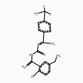 C=C(NC(=O)/N=C(\C)c1ccc(C(F)(F)P)cc1)c1cc(CC)ccc1Cl